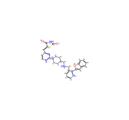 O=C1NC(=O)C(=Cc2ccnc(N3CCC(CNCc4cccnc4-c4cc5ccccc5o4)CC3)n2)S1